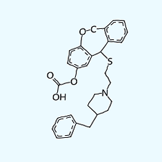 O=C(O)Oc1ccc2c(c1)C(SCCN1CCC(Cc3ccccc3)CC1)c1ccccc1CO2